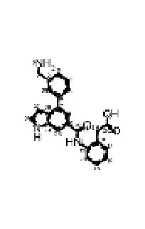 NCc1cccc(-c2cc(C(=O)Nc3ccccc3CC(=O)O)cc3[nH]ccc23)c1